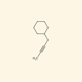 CC#CO[C]1CCCCO1